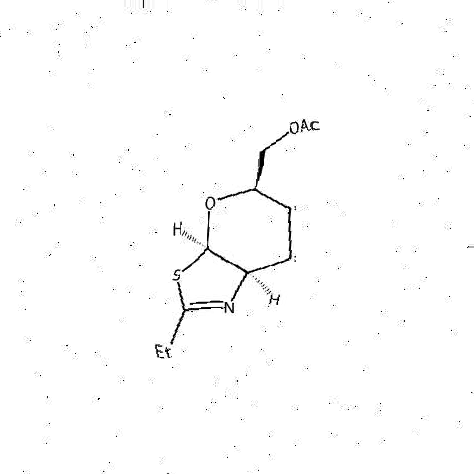 CCC1=N[C@@H]2[C][C][C@H](COC(C)=O)O[C@@H]2S1